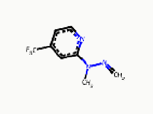 C=NN(C)c1cc(C(F)(F)F)ccn1